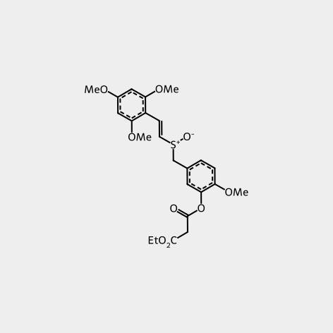 CCOC(=O)CC(=O)Oc1cc(C[S+]([O-])C=Cc2c(OC)cc(OC)cc2OC)ccc1OC